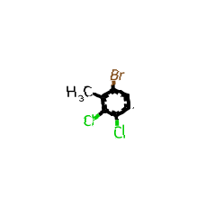 Cc1c(Br)c[c]c(Cl)c1Cl